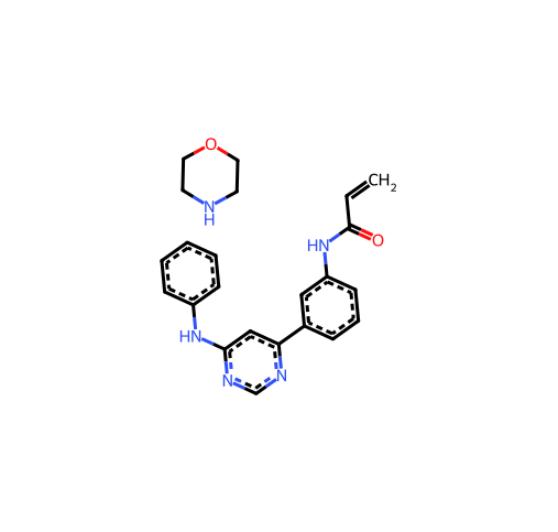 C1COCCN1.C=CC(=O)Nc1cccc(-c2cc(Nc3ccccc3)ncn2)c1